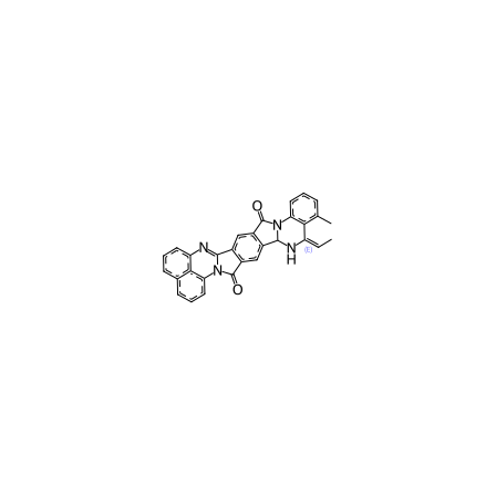 C/C=C1/NC2c3cc4c(cc3C(=O)N2c2cccc(C)c21)C1=Nc2cccc3cccc(c23)N1C4=O